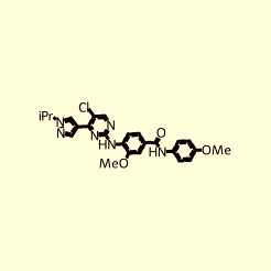 COc1ccc(NC(=O)c2ccc(Nc3ncc(Cl)c(-c4cnn(C(C)C)c4)n3)c(OC)c2)cc1